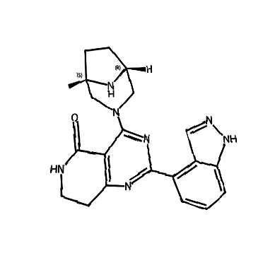 C[C@]12CC[C@H](CN(c3nc(-c4cccc5[nH]ncc45)nc4c3C(=O)NCC4)C1)N2